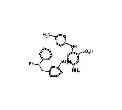 CCN(Cc1cccc(S(=O)(=O)O)c1)c1ccccc1.Nc1ccc(Nc2ccc(N)cc2S(=O)(=O)O)cc1